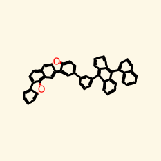 c1cc(-c2ccc3oc4cc5ccc6c7ccccc7oc6c5cc4c3c2)cc(-c2c3ccccc3c(-c3cccc4ccccc34)c3ccccc23)c1